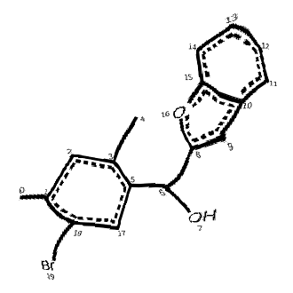 Cc1cc(C)c(C(O)c2cc3ccccc3o2)cc1Br